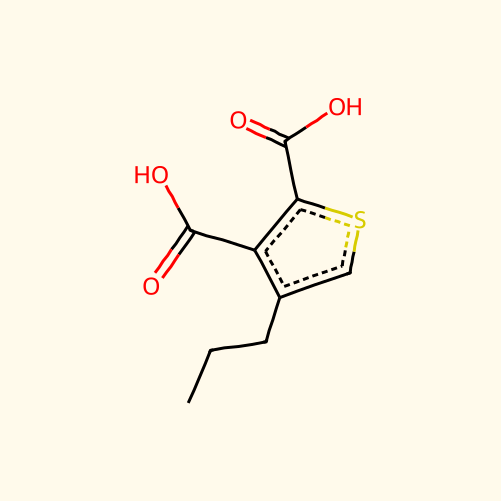 CCCc1csc(C(=O)O)c1C(=O)O